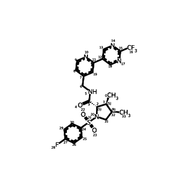 C[C@@H]1[C@@H](C(=O)NCc2ccnc(-c3cnc(C(F)(F)F)nc3)c2)N(S(=O)(=O)c2ccc(F)cc2)C[C@@H]1C